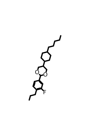 CCCCCC1CCC(C2COC(c3ccc(CCC)c(F)c3)OC2)CC1